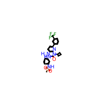 CS(=O)(=O)Nc1cccc(NC(=O)N(c2nc(-c3cccc(C(F)(F)F)c3)ccc2N)C2CCC2)c1